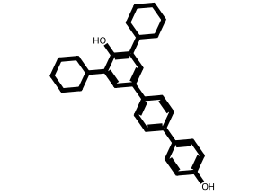 Oc1ccc(-c2ccc(-c3cc(C4CCCCC4)c(O)c(C4CCCCC4)c3)cc2)cc1